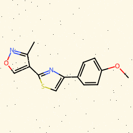 COc1ccc(-c2csc(-c3conc3C)n2)cc1